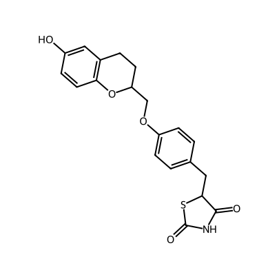 O=C1NC(=O)C(Cc2ccc(OCC3CCc4cc(O)ccc4O3)cc2)S1